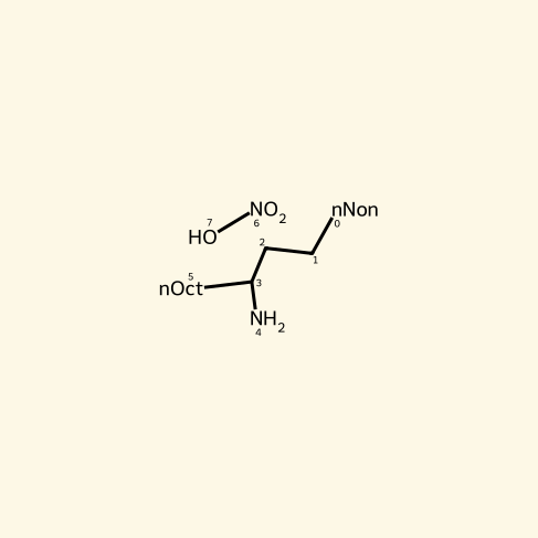 CCCCCCCCCCCC(N)CCCCCCCC.O=[N+]([O-])O